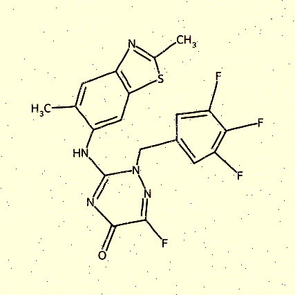 Cc1nc2cc(C)c(Nc3nc(=O)c(F)nn3Cc3cc(F)c(F)c(F)c3)cc2s1